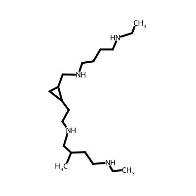 CCNCCCCNCC1CC1CCNCC(C)CCNCC